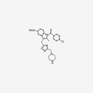 COc1ccc2c(c1)c(Cc1nc(CN3CCNCC3)no1)c(C)n2C(=O)c1ccc(Cl)cc1